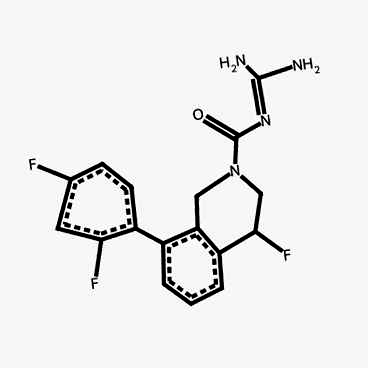 NC(N)=NC(=O)N1Cc2c(-c3ccc(F)cc3F)cccc2C(F)C1